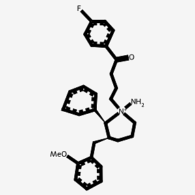 COc1ccccc1C[C@@H]1CCC[N+](N)(CCCC(=O)c2ccc(F)cc2)[C@@H]1c1ccccc1